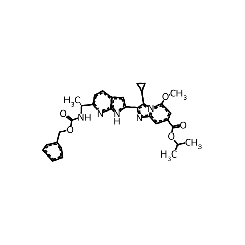 COc1cc(C(=O)OC(C)C)cc2nc(-c3cc4ccc([C@@H](C)NC(=O)OCc5ccccc5)nc4[nH]3)c(C3CC3)n12